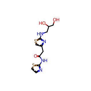 O=C(Cc1csc(NCC(O)CO)n1)Nc1nccs1